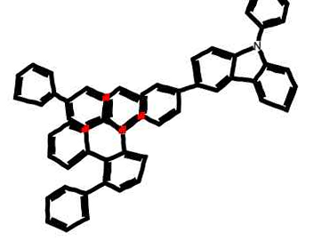 c1ccc(-c2ccc(N(c3ccc(-c4ccc5c(c4)c4ccccc4n5-c4ccccc4)cc3)c3cccc(-c4ccccc4)c3-c3ccccc3-c3ccccc3)cc2)cc1